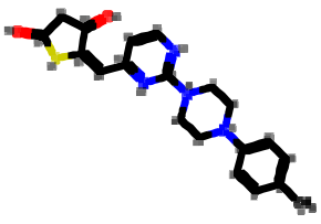 Cc1ccc(N2CCN(c3nccc(C=C4SC(=O)CC4=O)n3)CC2)cc1